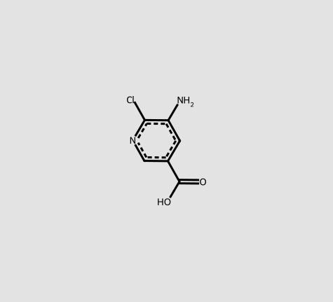 Nc1cc(C(=O)O)cnc1Cl